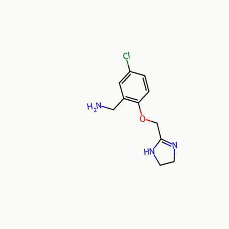 NCc1cc(Cl)ccc1OCC1=NCCN1